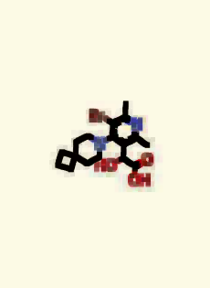 Cc1nc(C)c(C(O)C(=O)O)c(N2CCC3(CCC3)CC2)c1Br